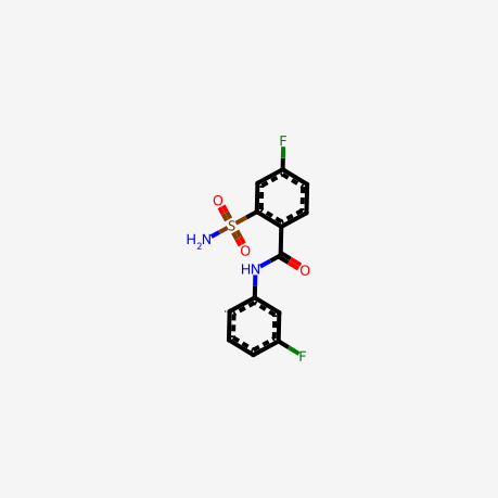 NS(=O)(=O)c1cc(F)ccc1C(=O)Nc1[c]ccc(F)c1